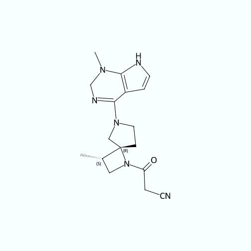 C[C@H]1CN(C(=O)CC#N)[C@]12CCN(C1=NCN(C)c3[nH]ccc31)C2